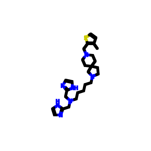 Cc1ccsc1CN1CCC2(CC1)CCN(CCCCCN(Cc1ncc[nH]1)Cc1ncc[nH]1)C2